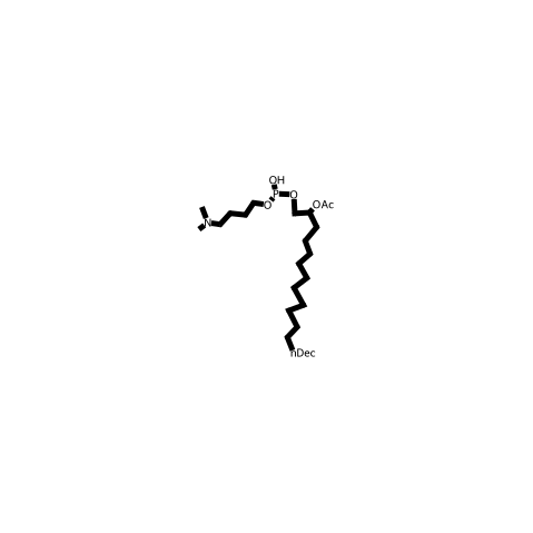 CCCCCCCCCCCCCCCCCCCCC(COP(O)OCCCCN(C)C)OC(C)=O